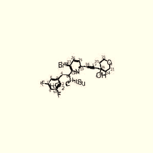 CC(C)(C)N(C(=O)O)[C@@H](Cc1cc(F)cc(F)c1)c1nc(C#CC2(O)CCOCC2)ccc1Br